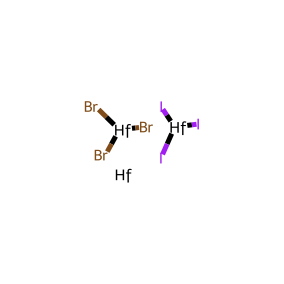 [Br][Hf]([Br])[Br].[Hf].[I][Hf]([I])[I]